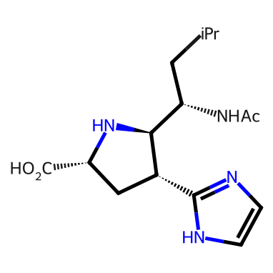 CC(=O)N[C@@H](CC(C)C)[C@@H]1N[C@@H](C(=O)O)C[C@H]1c1ncc[nH]1